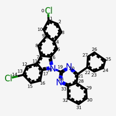 Clc1ccc2cc3c(cc2c1)c1cc(Cl)ccc1n3-c1nc(-c2ccccc2)c2ccccc2n1